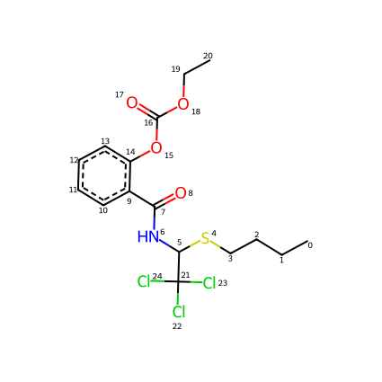 CCCCSC(NC(=O)c1ccccc1OC(=O)OCC)C(Cl)(Cl)Cl